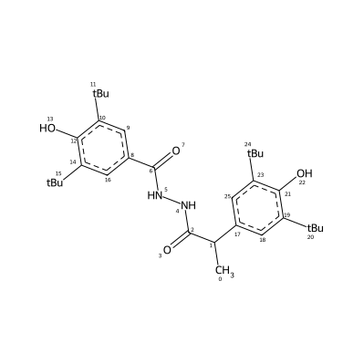 CC(C(=O)NNC(=O)c1cc(C(C)(C)C)c(O)c(C(C)(C)C)c1)c1cc(C(C)(C)C)c(O)c(C(C)(C)C)c1